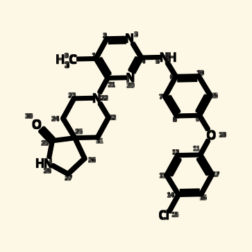 Cc1cnc(Nc2ccc(Oc3ccc(Cl)cc3)cc2)nc1N1CCC2(CCNC2=O)CC1